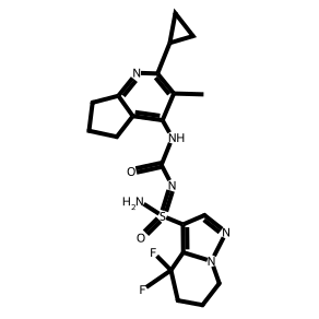 Cc1c(C2CC2)nc2c(c1NC(=O)N=S(N)(=O)c1cnn3c1C(F)(F)CCC3)CCC2